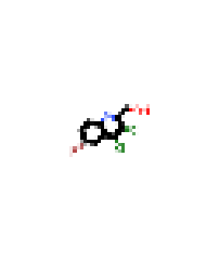 OCc1nc2ccc(Br)cc2c(Cl)c1Cl